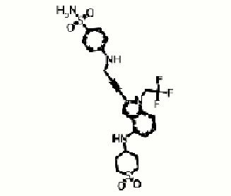 NS(=O)(=O)c1ccc(NCC#Cc2cc3c(NC4CCS(=O)(=O)CC4)cccc3n2CC(F)(F)F)cc1